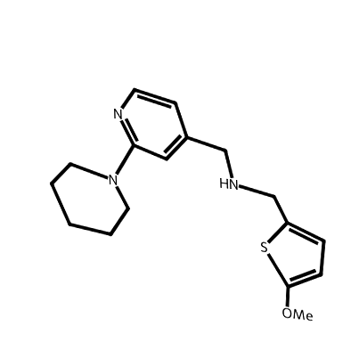 COc1ccc(CNCc2ccnc(N3CCCCC3)c2)s1